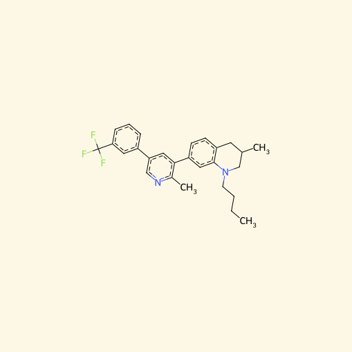 CCCCN1CC(C)Cc2ccc(-c3cc(-c4cccc(C(F)(F)F)c4)cnc3C)cc21